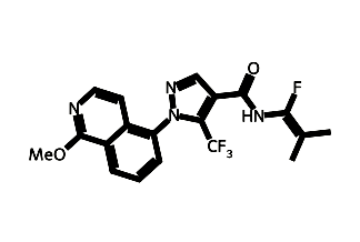 COc1nccc2c(-n3ncc(C(=O)NC(F)=C(C)C)c3C(F)(F)F)cccc12